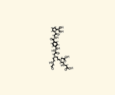 O=CCNCCN(CCN(CCNCC(=O)O)CC(=O)O)CC(=O)NNc1ccc(C(=O)NCC(=O)N2CCC[C@H]2B(O)O)cc1